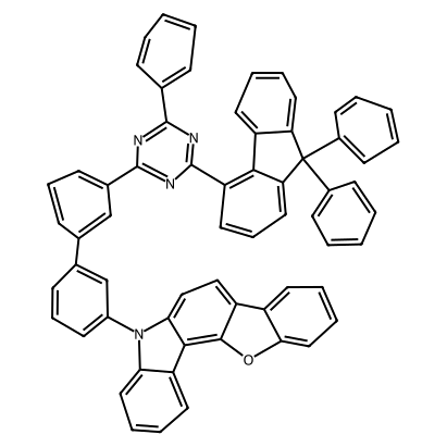 c1ccc(-c2nc(-c3cccc(-c4cccc(-n5c6ccccc6c6c7oc8ccccc8c7ccc65)c4)c3)nc(-c3cccc4c3-c3ccccc3C4(c3ccccc3)c3ccccc3)n2)cc1